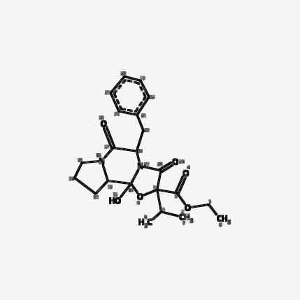 CCOC(=O)C1(C(C)C)OC2(O)C3CCCN3C(=O)C(Cc3ccccc3)N2C1=O